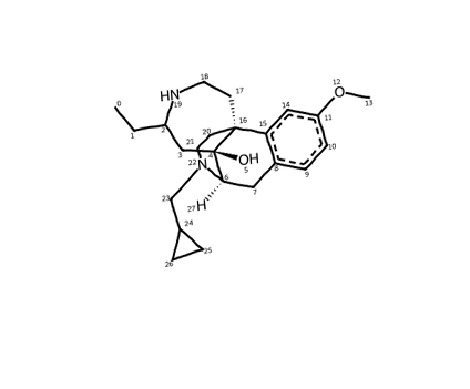 CCC1C[C@@]2(O)[C@H]3Cc4ccc(OC)cc4[C@]2(CCN1)CCN3CC1CC1